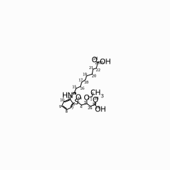 CCOC(CSc1ccccc1NC(=O)CCCCCCCCC(=O)O)CC(=O)O